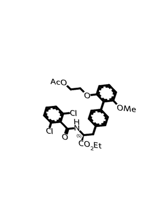 CCOC(=O)[C@H](Cc1ccc(-c2c(OC)cccc2OCCOC(C)=O)cc1)NC(=O)c1c(Cl)cccc1Cl